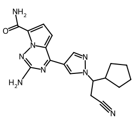 N#CCC(C1CCCC1)n1cc(-c2nc(N)nn3c(C(N)=O)ccc23)cn1